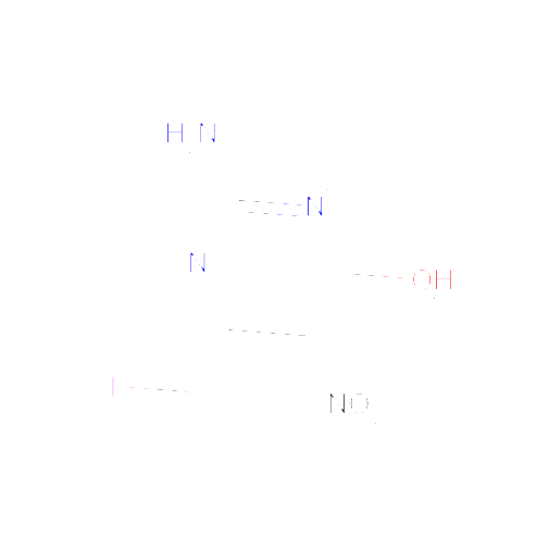 Nc1nc(O)c([N+](=O)[O-])c(CI)n1